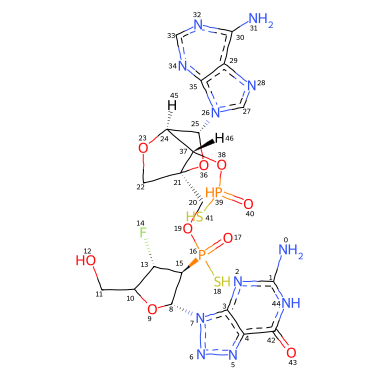 Nc1nc2c(nnn2[C@@H]2OC(CO)[C@H](F)[C@H]2P(=O)(S)OC[C@@]23CO[C@@H]([C@H](n4cnc5c(N)ncnc54)O2)[C@@H]3O[PH](=O)S)c(=O)[nH]1